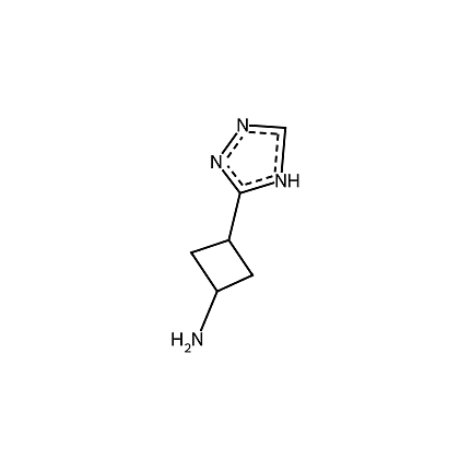 NC1CC(c2nnc[nH]2)C1